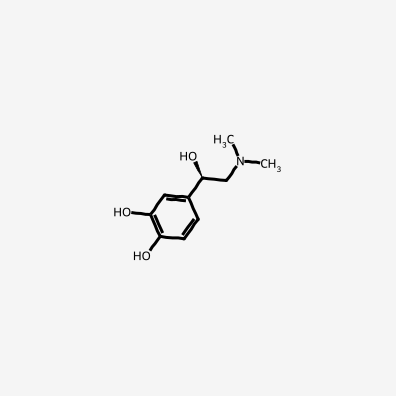 CN(C)C[C@H](O)c1ccc(O)c(O)c1